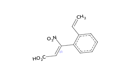 C=Cc1ccccc1/C(=C/C(=O)O)[N+](=O)[O-]